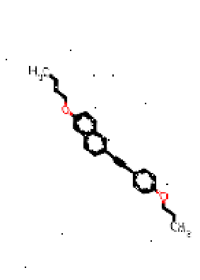 CCCCOc1ccc2cc(C#Cc3ccc(OCCC)cc3)ccc2c1